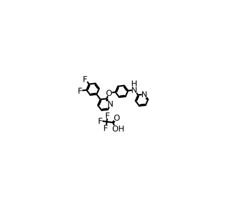 Fc1ccc(-c2cccnc2Oc2ccc(Nc3ccccn3)cc2)cc1F.O=C(O)C(F)(F)F